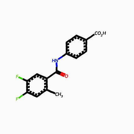 Cc1cc(F)c(F)cc1C(=O)Nc1ccc(C(=O)O)cc1